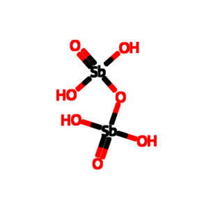 [O]=[Sb]([OH])([OH])[O][Sb](=[O])([OH])[OH]